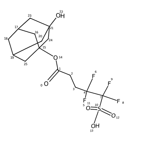 O=C(CCC(F)(F)C(F)(F)S(=O)(=O)O)OC12CC3CC(CC(O)(C3)C1)C2